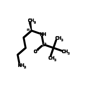 C[C@H](CCCN)N[S+]([O-])C(C)(C)C